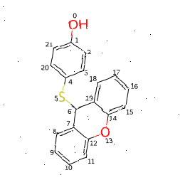 Oc1ccc(SC2c3ccccc3Oc3ccccc32)cc1